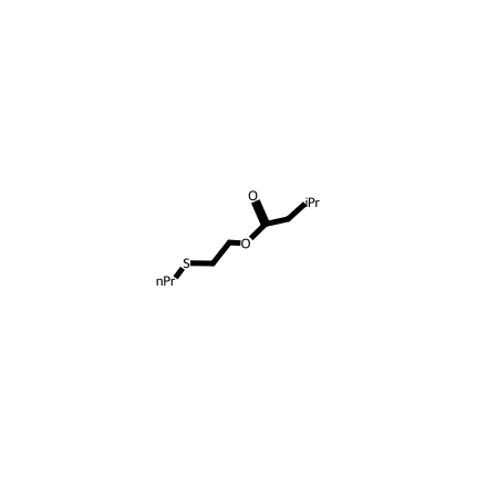 CCCSCCOC(=O)CC(C)C